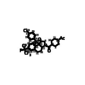 CC(=O)N1CCC(C(=O)N2CCC3(S(=O)(=O)c4ccc(Cl)cc4)c4ccc(C(F)(C(F)(F)F)C(F)(F)F)cc4CCC23)CC1